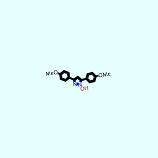 COc1ccc(-c2cc(-c3ccc(OC)cc3)n(O)n2)cc1